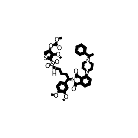 COC(=O)Oc1csc(S(=O)(=O)NCCCC(c2ccc(OC)c(OC)c2)N2C(=O)c3cccc(N4CCN(C(C)c5ccccc5)CC4)c3C2=O)c1OC